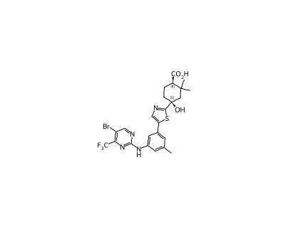 Cc1cc(Nc2ncc(Br)c(C(F)(F)F)n2)cc(-c2cnc([C@]3(O)CC[C@@H](C(=O)O)C(C)(C)C3)s2)c1